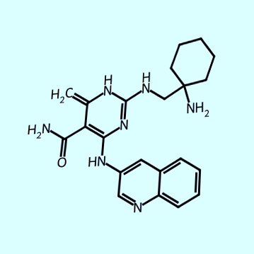 C=C1NC(NCC2(N)CCCCC2)=NC(Nc2cnc3ccccc3c2)=C1C(N)=O